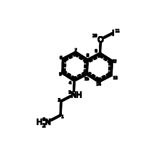 NCCNc1cccc2c(OI)cccc12